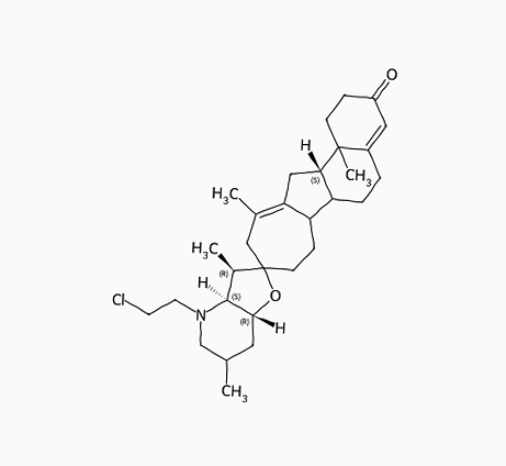 CC1=C2C[C@H]3C(CCC4=CC(=O)CCC43C)C2CCC2(C1)O[C@@H]1CC(C)CN(CCCl)[C@H]1[C@H]2C